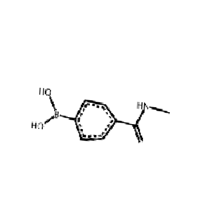 C=C(NC)c1ccc(B(O)O)cc1